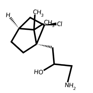 CC1(C)[C@H]2CC[C@]1(CC(O)CN)[C@H](Cl)C2